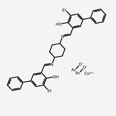 CC(=O)[O-].CC(=O)[O-].CCc1cc(-c2ccccc2)cc(C=NC2CCC(N=Cc3cc(-c4ccccc4)cc(CC)c3O)CC2)c1O.[Co+2]